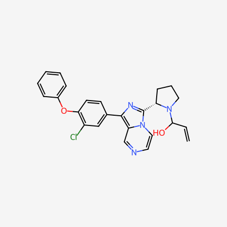 C=CC(O)N1CCC[C@H]1c1nc(-c2ccc(Oc3ccccc3)c(Cl)c2)c2cnccn12